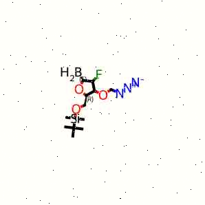 B[C@@H]1O[C@H](CO[Si](C)(C)C(C)(C)C)C(OCN=[N+]=[N-])C1F